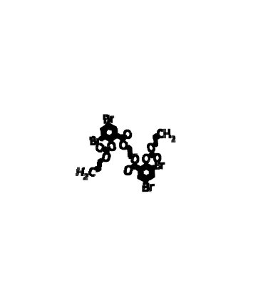 C=CCOC(=O)Oc1c(Br)cc(Br)cc1C(=O)OCCOC(=O)c1cc(Br)cc(Br)c1OC(=O)OCC=C